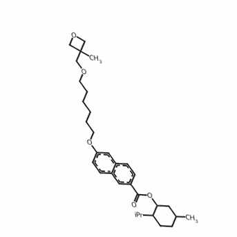 CC1CCC(C(C)C)C(OC(=O)c2ccc3cc(OCCCCCCOCC4(C)COC4)ccc3c2)C1